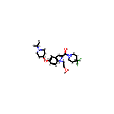 COCCn1c(C(=O)N2CCC(F)(F)CC2)cc2cc(OC3CCN(C(C)C)CC3)ccc21